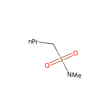 [CH2]CCCS(=O)(=O)NC